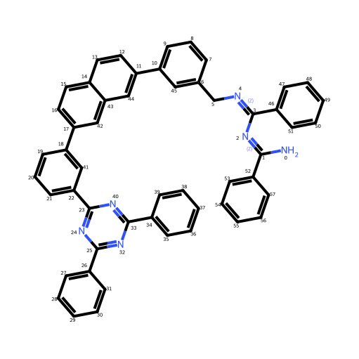 N/C(=N\C(=N/Cc1cccc(-c2ccc3ccc(-c4cccc(-c5nc(-c6ccccc6)nc(-c6ccccc6)n5)c4)cc3c2)c1)c1ccccc1)c1ccccc1